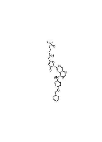 CS(=O)(=O)CCCNCC1=CC(=O)C(c2cc3c(Nc4ccc(OCc5ccccc5)cc4)ncnc3cn2)O1